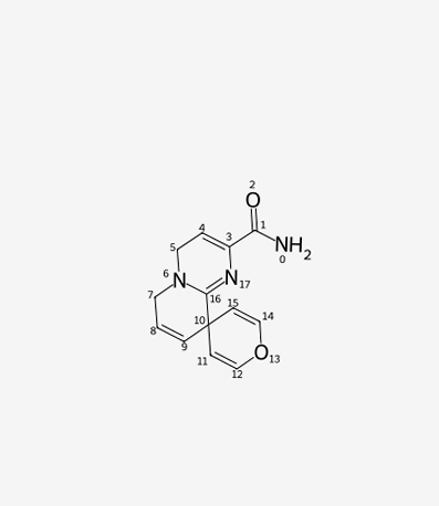 NC(=O)C1=CCN2CC=CC3(C=COC=C3)C2=N1